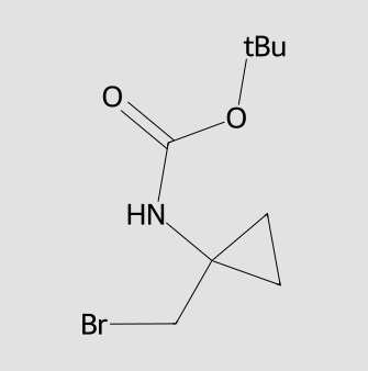 CC(C)(C)OC(=O)NC1(CBr)CC1